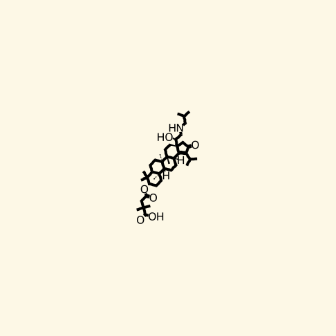 CC(C)CNC[C@H](O)[C@@]12CC[C@]3(C)[C@H](CC[C@@H]4[C@@]5(C)CC[C@H](OC(=O)CC(C)(C)C(=O)O)C(C)(C)C5CC[C@]43C)C1=C(C(C)C)C(=O)C2